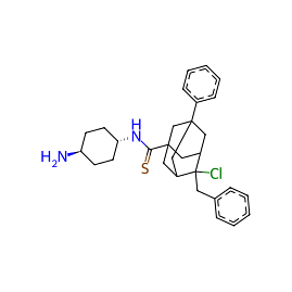 N[C@H]1CC[C@H](NC(=S)C23CC4CC(c5ccccc5)(CC(C2)C4(Cl)Cc2ccccc2)C3)CC1